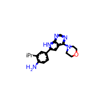 CC(C)c1cc(-c2cc3c(N4CCOCC4)ncnc3[nH]2)ccc1N